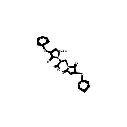 O=C(O)C(CN1C(=O)C=C(Sc2ccccc2)C1=O)N1C(=O)C(Sc2ccccc2)=C[C@@H]1O